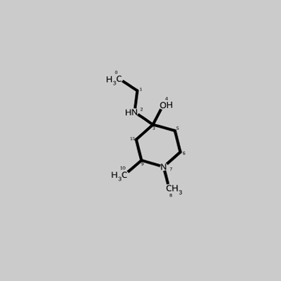 CCNC1(O)CCN(C)C(C)C1